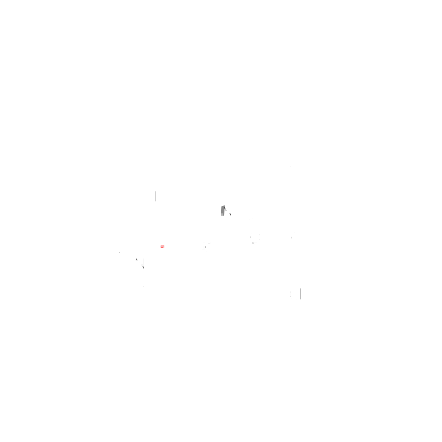 Cc1cc(C)cc(C(=O)N(C)C[C@@H](CCN2C3CCC2CC(c2ccccc2F)C3)c2ccc(Cl)c(Cl)c2)c1